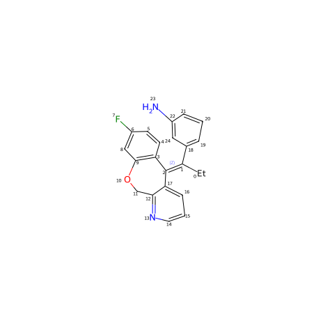 CC/C(=C1/c2ccc(F)cc2OCc2ncccc21)c1cccc(N)c1